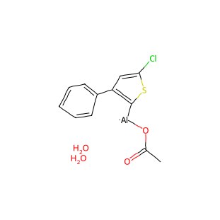 CC(=O)[O][Al][c]1sc(Cl)cc1-c1ccccc1.O.O